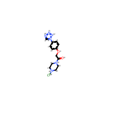 O=C(COc1ccc(-n2cnnn2)cc1)N1CCN(Cl)CC1